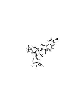 Cc1ccc(N2C(=O)/C(=N\Nc3cccc(/C=C\C(=O)O)c3O)c3ccc(C(F)(F)F)cc32)cc1C